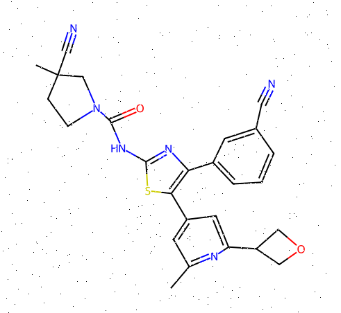 Cc1cc(-c2sc(NC(=O)N3CCC(C)(C#N)C3)nc2-c2cccc(C#N)c2)cc(C2COC2)n1